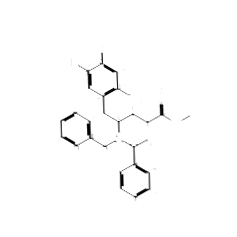 COC(=O)CCC(Cc1cc(F)c(F)cc1F)N(Cc1ccccc1)C(C)c1ccccc1